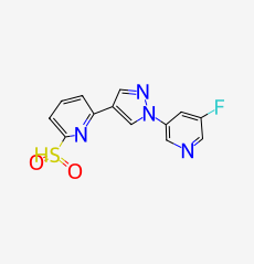 O=[SH](=O)c1cccc(-c2cnn(-c3cncc(F)c3)c2)n1